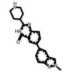 Cn1cc2cc(-c3ccc4nc(C5CCNCC5)[nH]c(=O)c4c3)ccc2n1